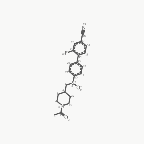 CC(=O)N1CCC(C[S+]([O-])c2ccc(-c3ccc(C#N)cc3F)cc2)CC1